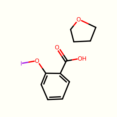 C1CCOC1.O=C(O)c1ccccc1OI